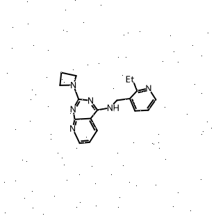 CCc1ncccc1CNc1nc(N2CCC2)nc2ncccc12